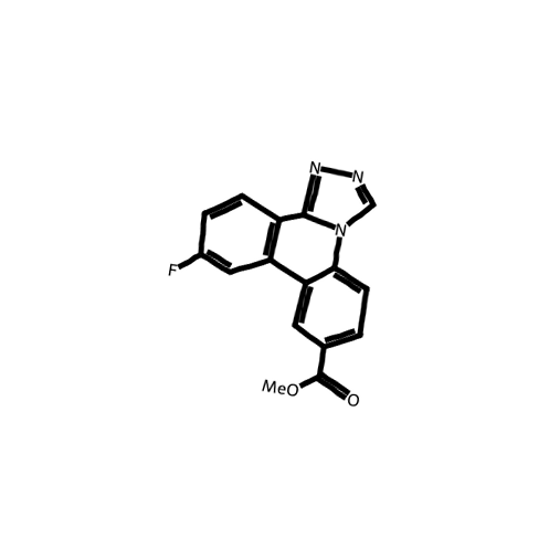 COC(=O)c1ccc2c(c1)c1cc(F)ccc1c1nncn21